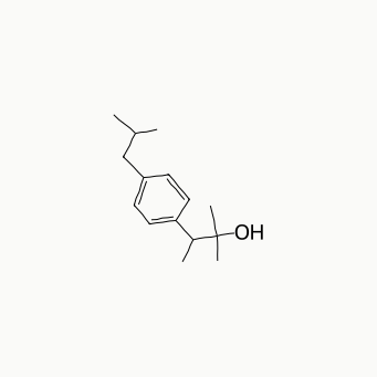 CC(C)Cc1ccc(C(C)C(C)(C)O)cc1